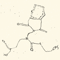 CCSC(=O)N(CCC(=O)O)N1C(=O)c2ccccc2C1=O